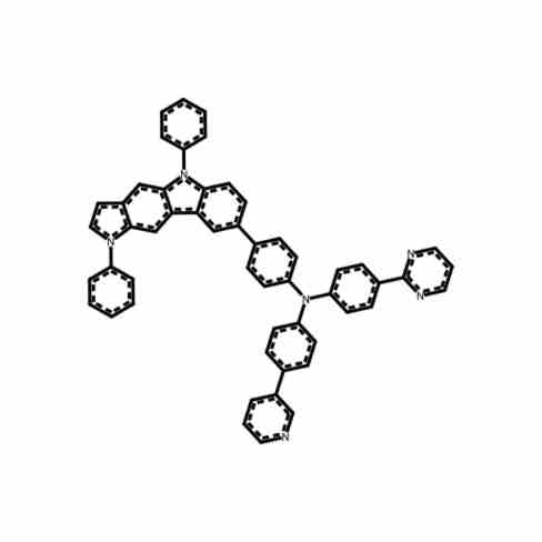 c1ccc(-n2ccc3cc4c(cc32)c2cc(-c3ccc(N(c5ccc(-c6cccnc6)cc5)c5ccc(-c6ncccn6)cc5)cc3)ccc2n4-c2ccccc2)cc1